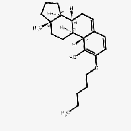 CCCCCOC1=C(O)[C@H]2C(=CC[C@@H]3[C@@H]2CC[C@]2(C)CCC[C@@H]32)C=C1